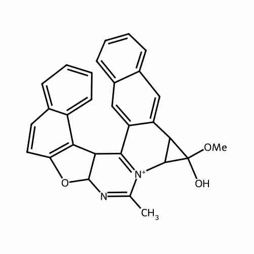 COC1(O)C2c3cc4ccccc4cc3C3=[N+](C(C)=NC4Oc5ccc6ccccc6c5C34)C21